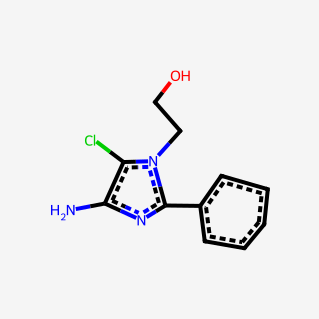 Nc1nc(-c2ccccc2)n(CCO)c1Cl